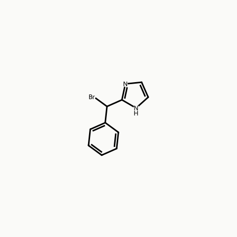 BrC(c1ccccc1)c1ncc[nH]1